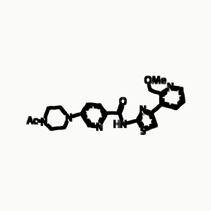 COCc1ncccc1-c1csc(NC(=O)c2ccc(N3CCN(C(C)=O)CC3)cn2)n1